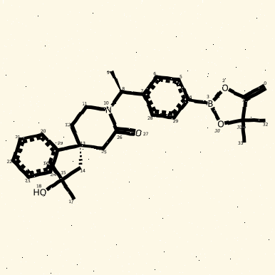 C=C1OB(c2ccc([C@H](C)N3CC[C@](CC(C)(C)O)(c4ccccc4)CC3=O)cc2)OC1(C)C